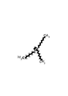 CCCCCCCCCC[n+]1ccn(CCCCCCCC)c1CCCCCCCC